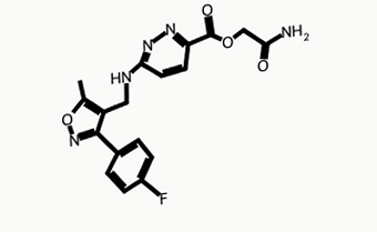 Cc1onc(-c2ccc(F)cc2)c1CNc1ccc(C(=O)OCC(N)=O)nn1